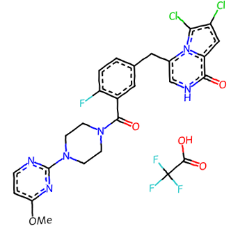 COc1ccnc(N2CCN(C(=O)c3cc(Cc4c[nH]c(=O)c5cc(Cl)c(Cl)n45)ccc3F)CC2)n1.O=C(O)C(F)(F)F